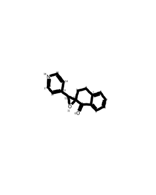 O=C1c2ccccc2CCC12OC2c1ccncc1